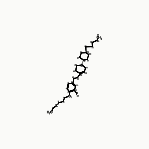 CCCCCCOc1ccc(CCC2=CCC([C@H]3CC[C@H](CCCCC)CC3)CC2)cc1F